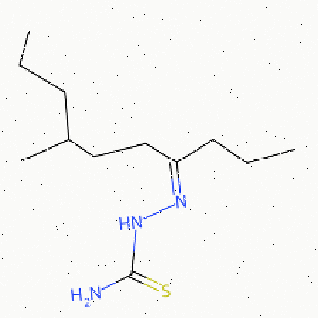 CCCC(CCC(C)CCC)=NNC(N)=S